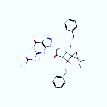 CC(C)C(=O)Nc1nc2c(ncn2[C@@H]2O[C@]3(COCc4ccccc4)C(C2=O)C(OCc2ccccc2)(O[Si](C)(C)C(C)(C)C)C32CC2)c(=O)[nH]1